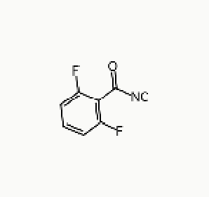 [C-]#[N+]C(=O)c1c(F)cccc1F